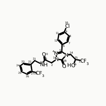 O=C(Cn1nc(-c2ccc(Cl)cc2)n(CC(O)C(F)(F)F)c1=O)NCc1ccccc1C(F)(F)F